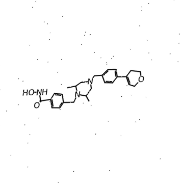 CC1CN(Cc2ccc(C3=CCOCC3)cc2)CC(C)N1Cc1ccc(C(=O)NO)cc1